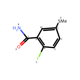 CSc1ccc(F)c(C(N)=O)c1